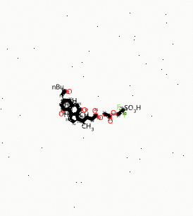 CCCCC(=O)C[C@H]1CC(=O)[C@@H]2[C@H](CC(=O)[C@]3(C)[C@@H]([C@H](C)CCC(=O)OCC(=O)OCC(F)(F)S(=O)(=O)O)CC[C@@H]23)C1